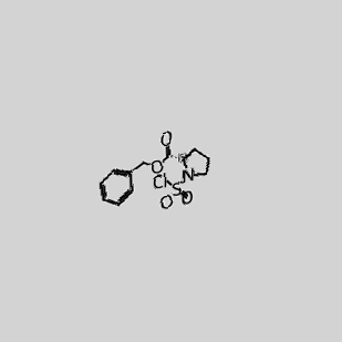 O=C(OCc1ccccc1)[C@@H]1CCCN1S(=O)(=O)Cl